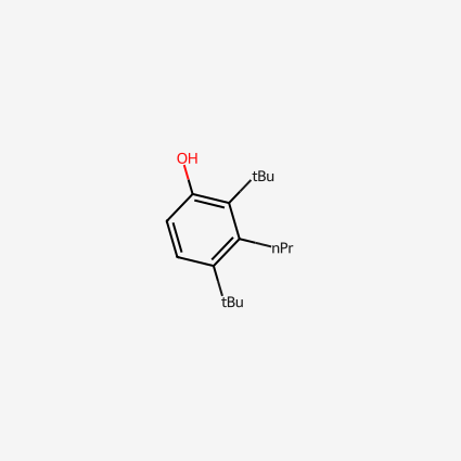 CCCc1c(C(C)(C)C)ccc(O)c1C(C)(C)C